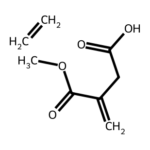 C=C.C=C(CC(=O)O)C(=O)OC